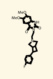 COc1cc2[nH]c(=O)n(CCN3CC4CC(c5ccc(F)cc5)C4C3)c(=O)c2cc1OC